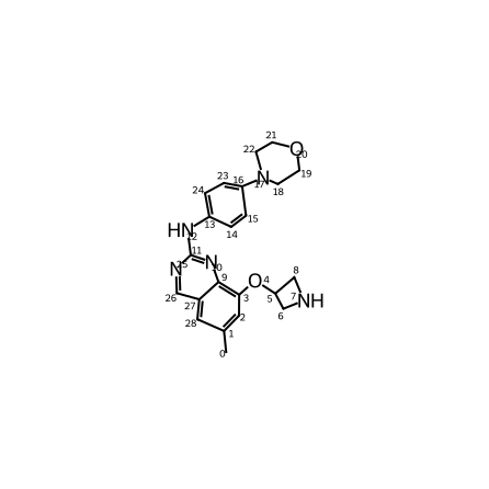 Cc1cc(OC2CNC2)c2nc(Nc3ccc(N4CCOCC4)cc3)ncc2c1